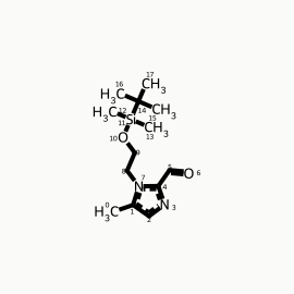 Cc1cnc(C=O)n1CCO[Si](C)(C)C(C)(C)C